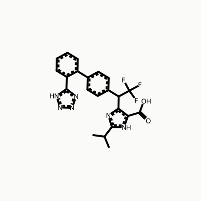 CC(C)c1nc(C(c2ccc(-c3ccccc3-c3nnn[nH]3)cc2)C(F)(F)F)c(C(=O)O)[nH]1